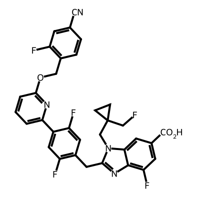 N#Cc1ccc(COc2cccc(-c3cc(F)c(Cc4nc5c(F)cc(C(=O)O)cc5n4CC4(CF)CC4)cc3F)n2)c(F)c1